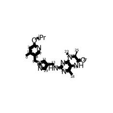 Cc1cc(OC(C)C)ncc1Cn1cc(CNc2nc(C)c3c(n2)N(C)[C@@H](C)C(=O)N3)cn1